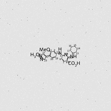 COc1cc(Nc2ccc(C(=O)O)c(NC3CCCCC3)n2)ccc1-c1cnn(C)c1